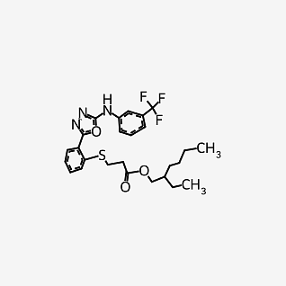 CCCCC(CC)COC(=O)CCSc1ccccc1-c1nnc(Nc2cccc(C(F)(F)F)c2)o1